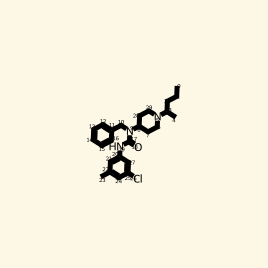 CCCC(C)N1CCC(N(Cc2ccccc2)C(=O)Nc2cc(C)cc(Cl)c2)CC1